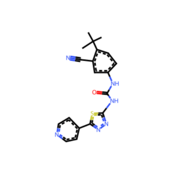 CC(C)(C)c1ccc(NC(=O)Nc2nnc(-c3ccncc3)s2)cc1C#N